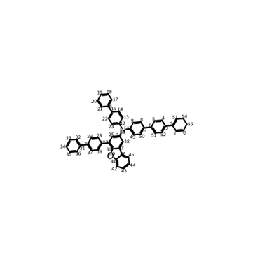 C1=CC(c2ccc(-c3ccc(N(c4ccc(-c5ccccc5)cc4)c4cc(-c5ccc(-c6ccccc6)cc5)c5oc6ccccc6c5c4)cc3)cc2)=CCC1